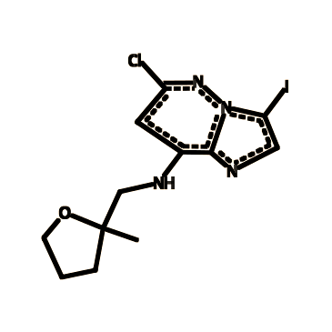 CC1(CNc2cc(Cl)nn3c(I)cnc23)CCCO1